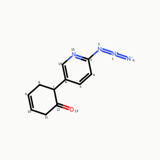 [N-]=[N+]=Nc1ccc(C2CC=CCC2=O)cn1